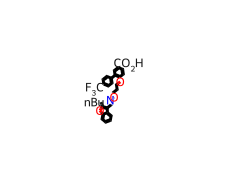 CCCCc1oc2ccccc2c1/C=N/OCCCOc1ccc(C(=O)O)cc1-c1ccc(C(F)(F)F)cc1